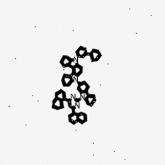 c1ccc(-c2cccc(-n3c4ccccc4c4c5c6ccccc6n(-c6ccc7c8ccccc8n(-c8nc(-c9cccc%10ccccc9%10)cc(-c9cccc%10ccccc9%10)n8)c7c6)c5ccc43)c2)cc1